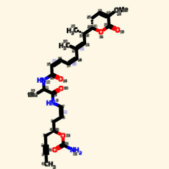 CC#CC[C@@H](C/C=C\NC(=O)C(NC(=O)\C=C/C=C\C(C)=C\[C@H](C)[C@@H]1CC=C(OC)C(=O)O1)C(C)(C)C)OC(N)=O